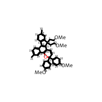 COCCC1(CCOC)c2cc(C)ccc2-c2c1c1c(c3cc(C)ccc23)OC(c2ccc(OC)cc2)(c2ccc(OC)cc2)C=C1